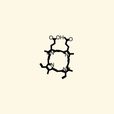 C=CC1=C(C)c2cc3[nH]c(cc4nc(cc5[nH]c(cc1n2)c(C)c5CCC(=O)O)C(CCC(C)=O)=C4C)c(C)c3C=C